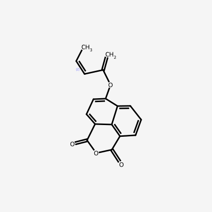 C=C(/C=C\C)Oc1ccc2c3c(cccc13)C(=O)OC2=O